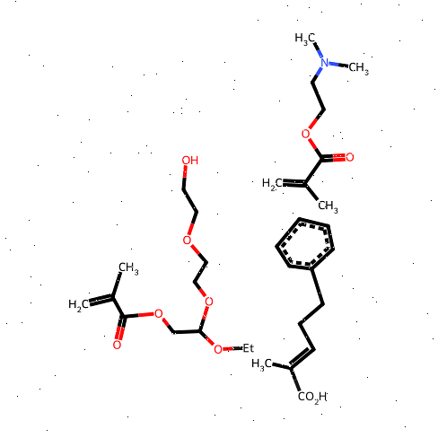 C=C(C)C(=O)OCC(OCC)OCCOCCO.C=C(C)C(=O)OCCN(C)C.CC(=CCCc1ccccc1)C(=O)O